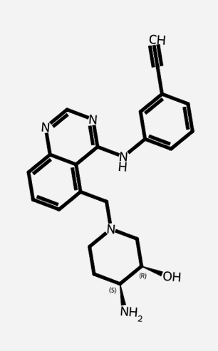 C#Cc1cccc(Nc2ncnc3cccc(CN4CC[C@H](N)[C@H](O)C4)c23)c1